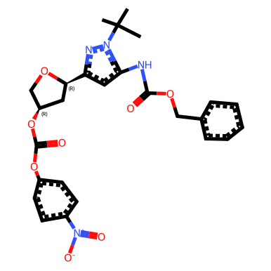 CC(C)(C)n1nc([C@H]2C[C@@H](OC(=O)Oc3ccc([N+](=O)[O-])cc3)CO2)cc1NC(=O)OCc1ccccc1